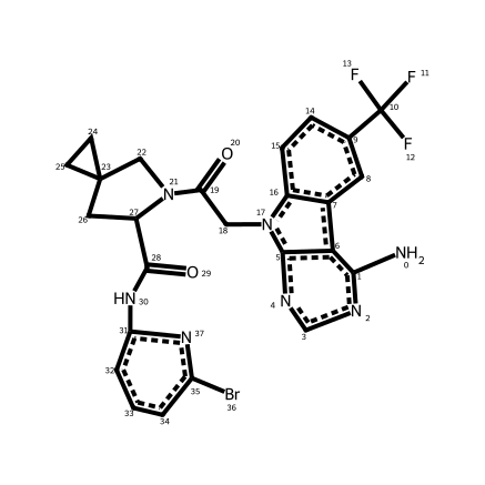 Nc1ncnc2c1c1cc(C(F)(F)F)ccc1n2CC(=O)N1CC2(CC2)CC1C(=O)Nc1cccc(Br)n1